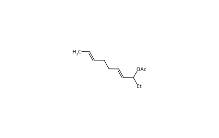 CC=CCCC=CC(CC)OC(C)=O